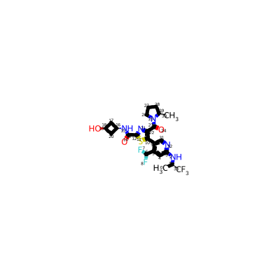 C[C@H](Nc1cc(C(F)F)c(-c2sc(C(=O)N[C@H]3C[C@H](O)C3)nc2C(=O)N2CCC[C@@H]2C)cn1)C(F)(F)F